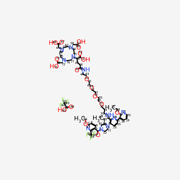 CCOc1ccc(C(=O)N2CCN(c3ccc(-c4cccnc4OCC)nc3CNCCCOCCOCCOCCOCCNC(=O)CCC(C(=O)O)N3CCN(CC(=O)O)CCN(CC(=O)O)CCN(CC(=O)O)CC3)[C@H](CC)C2)c(C(F)(F)F)n1.O=C(O)C(F)(F)F